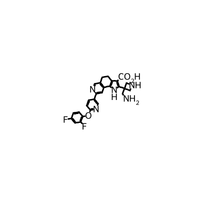 NCC1(c2[nH]c3c(c2C(=O)O)CCc2cnc(-c4ccc(Oc5ccc(F)cc5F)nc4)cc2-3)CNC1